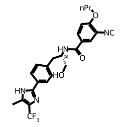 [C-]#[N+]c1cc(C(=O)N[C@H](CO)Cc2ccc(-c3nc(C(F)(F)F)c(C)[nH]3)cc2)ccc1OCCC